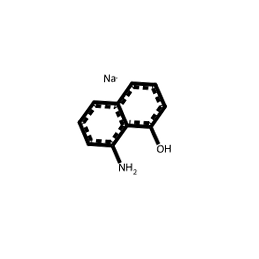 Nc1cccc2cccc(O)c12.[Na]